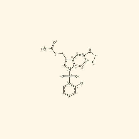 O=C(O)CCc1cn(S(=O)(=O)c2ccccc2Cl)c2cc3c(cc12)OCO3